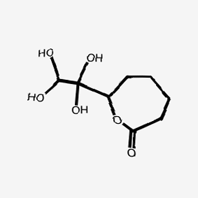 O=C1CCCCC(C(O)(O)C(O)O)O1